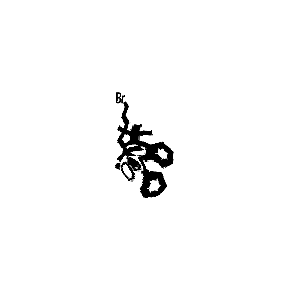 CO[Si](c1ccccc1)(c1ccccc1C1CCC(C)(C=CCBr)C1(C)C)C(C)(C)C